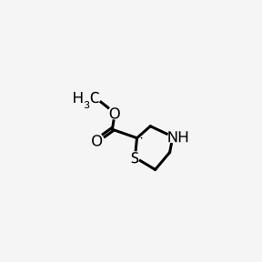 COC(=O)[C]1CNCCS1